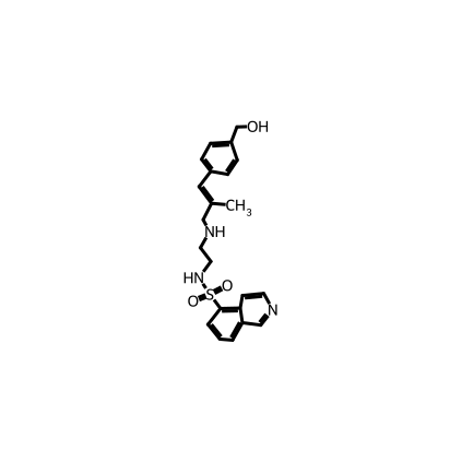 C/C(=C\c1ccc(CO)cc1)CNCCNS(=O)(=O)c1cccc2cnccc12